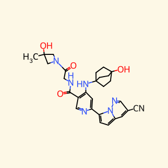 CC1(O)CN(C(=O)CNC(=O)c2cnc(-c3ccc4cc(C#N)cnn34)cc2NC23CCC(O)(CC2)CC3)C1